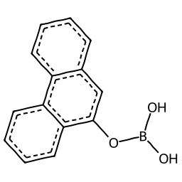 OB(O)Oc1cc2ccccc2c2ccccc12